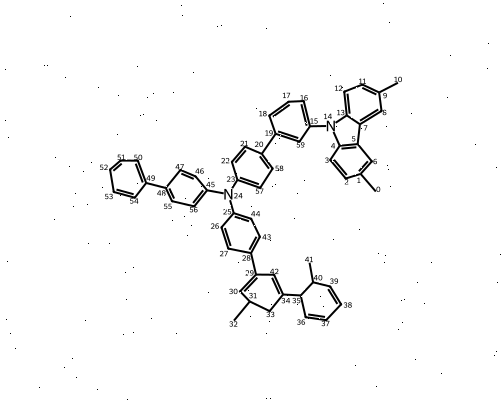 Cc1ccc2c(c1)c1cc(C)ccc1n2-c1cccc(-c2ccc(N(c3ccc(C4=CC(C)CC(C5C=CC=CC5C)=C4)cc3)c3ccc(-c4ccccc4)cc3)cc2)c1